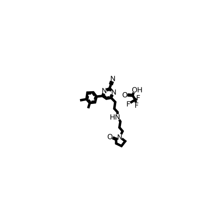 Cc1ccc(-c2cc(CCCNCCCN3CCCC3=O)nc(C#N)n2)cc1C.O=C(O)C(F)(F)F